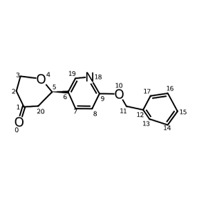 O=C1CCO[C@@H](c2ccc(OCc3ccccc3)nc2)C1